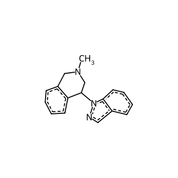 CN1Cc2ccccc2C(n2ncc3ccccc32)C1